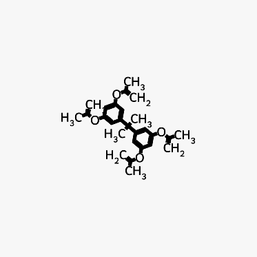 C=C(C)Oc1cc(OC(=C)C)cc(C(C)(C)c2cc(OC(=C)C)cc(OC(=C)C)c2)c1